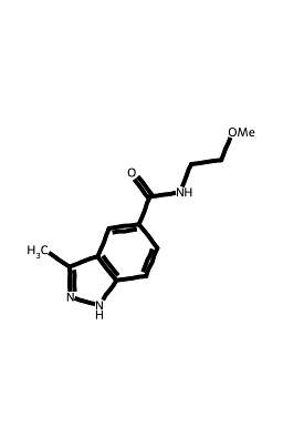 COCCNC(=O)c1ccc2[nH]nc(C)c2c1